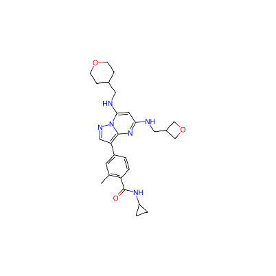 Cc1cc(-c2cnn3c(NCC4CCOCC4)cc(NCC4COC4)nc23)ccc1C(=O)NC1CC1